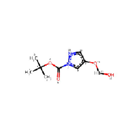 CC(C)(C)OC(=O)n1cc(OBO)cn1